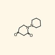 O=C1CCN(N2CCCCC2)C(=O)C1